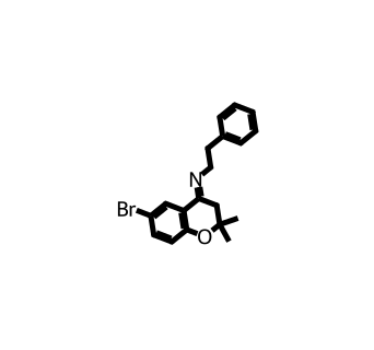 CC1(C)C/C(=N\CCc2ccccc2)c2cc(Br)ccc2O1